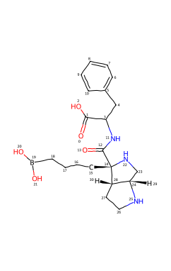 O=C(O)C(Cc1ccccc1)NC(=O)[C@]1(CCCCB(O)O)NC[C@@H]2NCC[C@@H]21